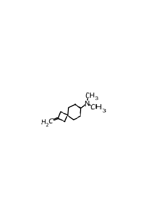 C=C1CC2(CCC(N(C)C)CC2)C1